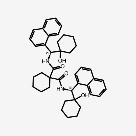 O=C(N[C@@H](c1cccc2ccccc12)C1(O)CCCCC1)C1(C(=O)N[C@@H](c2cccc3ccccc23)C2(O)CCCCC2)CCCCC1